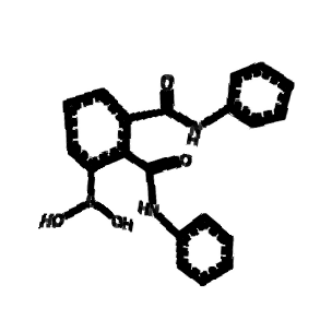 O=C(Nc1ccccc1)c1cccc(B(O)O)c1C(=O)Nc1ccccc1